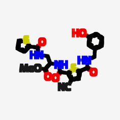 COC(=O)C(CNC(=O)c1cccs1)NC(=O)c1sc(C(=O)NCc2cccc(O)c2)cc1C#N